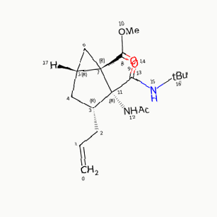 C=CC[C@@H]1C[C@@H]2C[C@]2(C(=O)OC)[C@@]1(NC(C)=O)C(=O)NC(C)(C)C